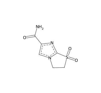 NC(=O)c1cn2c(n1)S(=O)(=O)CC2